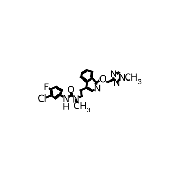 CN(CCc1cnc(OCc2ncn(C)n2)c2ccccc12)C(=O)Nc1ccc(F)c(Cl)c1